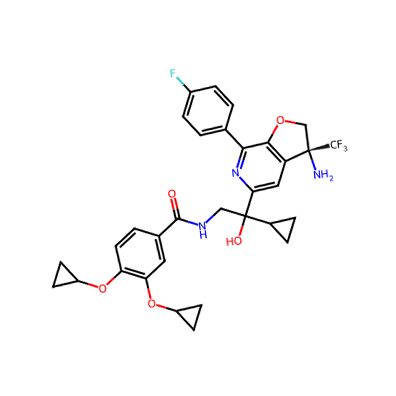 N[C@@]1(C(F)(F)F)COc2c1cc(C(O)(CNC(=O)c1ccc(OC3CC3)c(OC3CC3)c1)C1CC1)nc2-c1ccc(F)cc1